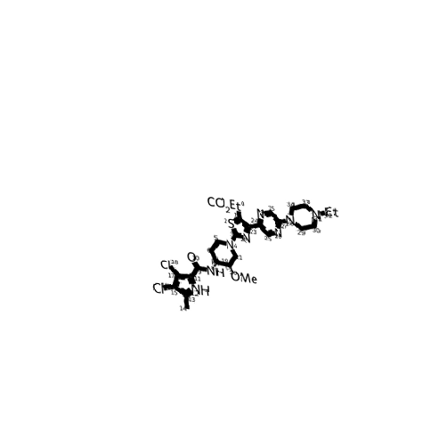 CCOC(=O)c1sc(N2CC[C@@H](NC(=O)c3[nH]c(C)c(Cl)c3Cl)[C@@H](OC)C2)nc1-c1cnc(N2CCN(CC)CC2)cn1